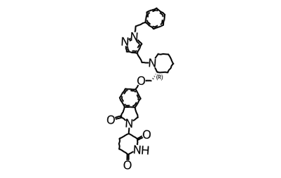 O=C1CCC(N2Cc3cc(OC[C@H]4CCCCN4Cc4cnn(Cc5ccccc5)c4)ccc3C2=O)C(=O)N1